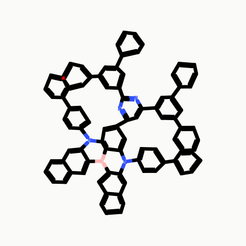 c1ccc(-c2ccc(N3c4cc5ccccc5cc4B4c5cc6ccccc6cc5N(c5ccc(-c6ccccc6)cc5)c5cc(-c6cc(-c7cc(-c8ccccc8)cc(-c8ccccc8)c7)nc(-c7cc(-c8ccccc8)cc(-c8ccccc8)c7)n6)cc3c54)cc2)cc1